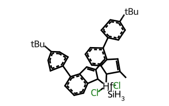 CC1=Cc2c(-c3ccc(C(C)(C)C)cc3)cccc2[CH]1[Hf]([SiH3])([Cl])([Cl])[CH]1C(C)=Cc2c(-c3ccc(C(C)(C)C)cc3)cccc21